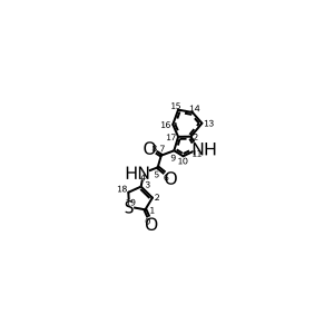 O=C1C=C(NC(=O)C(=O)c2c[nH]c3ccccc23)CS1